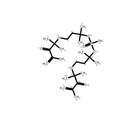 C=C(C)C(=O)C(C)(C)OCCC(C)(C)OP(=O)(O)OC(C)(C)CCOC(C)(C)C(=O)C(=C)C